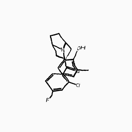 Cc1cccc(N2C3CCC2CN(C(=O)c2ccc(F)cc2Cl)C3)c1O